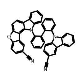 N#Cc1ccc2oc3ccc4c5ccccc5n(-c5ccccc5-c5ccccc5-n5c6ccccc6c6cc(C#N)ccc65)c4c3c2c1